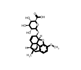 COc1ccc2c3c1O[C@H]1[C@H](SC4O[C@H](C(=O)O)[C@@H](O)[C@H](O)[C@H]4O)C=CC4[C@@H](C2)N(C)CC[C@@]341